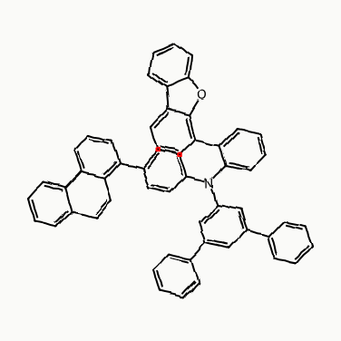 c1ccc(-c2cc(-c3ccccc3)cc(N(c3ccc(-c4cccc5c4ccc4ccccc45)cc3)c3ccccc3-c3cccc4c3oc3ccccc34)c2)cc1